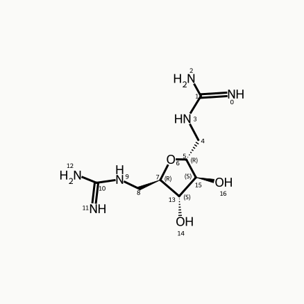 N=C(N)NC[C@H]1O[C@H](CNC(=N)N)[C@@H](O)[C@@H]1O